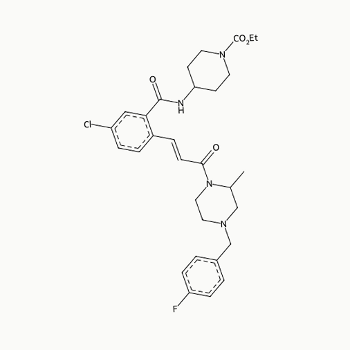 CCOC(=O)N1CCC(NC(=O)c2cc(Cl)ccc2/C=C/C(=O)N2CCN(Cc3ccc(F)cc3)CC2C)CC1